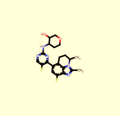 Cc1nc2c(F)cc(-c3nc(NC4CCOCC4O)ncc3F)c3c2n1C(C)CC3